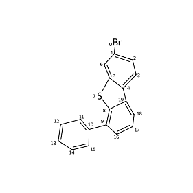 Brc1ccc2c(c1)sc1c(-c3ccccc3)cccc12